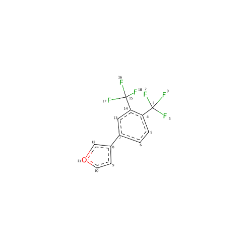 FC(F)(F)c1ccc(-c2c[c]oc2)cc1C(F)(F)F